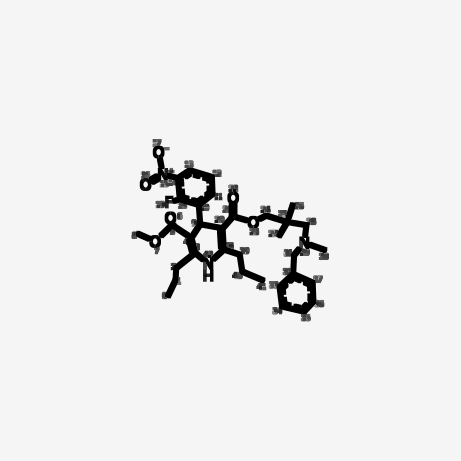 CCCC1=C(C(=O)OC)C(c2cccc([N+](=O)[O-])c2F)C(C(=O)OCC(C)(C)CN(C)Cc2ccccc2)=C(CCC)N1